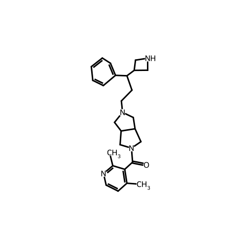 Cc1ccnc(C)c1C(=O)N1CC2CN(CCC(c3ccccc3)C3CNC3)CC2C1